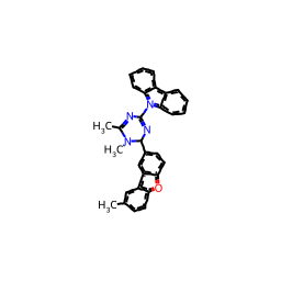 CC1=NC(n2c3ccccc3c3ccccc32)=NC(c2ccc3oc4ccc(C)cc4c3c2)N1C